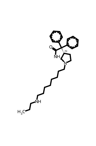 CCCNCCCCCCCCN1CC[C@@H](C(C(N)=O)(c2ccccc2)c2ccccc2)C1